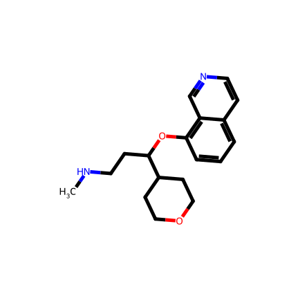 CNCCC(Oc1cccc2ccncc12)C1CCOCC1